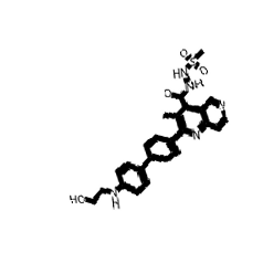 Cc1c(-c2ccc(-c3ccc(NCCO)cc3)cc2)nc2ccncc2c1C(=O)NNS(C)(=O)=O